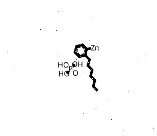 CCCCCCCc1cccc[c]1[Zn].O=P(O)(O)O